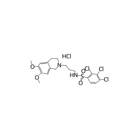 COc1cc2c(cc1OC)CN(CCCNS(=O)(=O)c1ccc(Cl)c(Cl)c1Cl)CC2.Cl